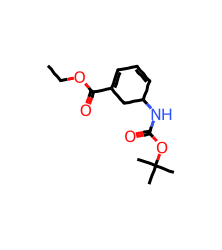 CCOC(=O)C1=CC=CC(NC(=O)OC(C)(C)C)C1